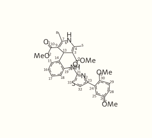 COC(=O)C1=C(C)NC(C)=C(C(=O)OC)C1c1ccccc1Nc1nc(-c2cc(OC)ccc2OC)cs1